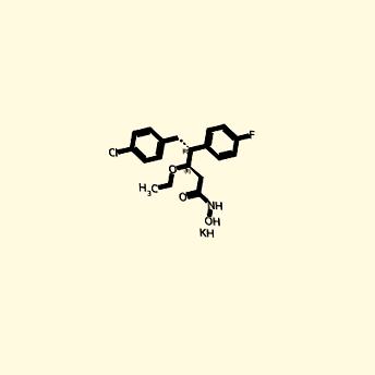 CCO[C@H](CC(=O)NO)[C@H](Cc1ccc(Cl)cc1)c1ccc(F)cc1.[KH]